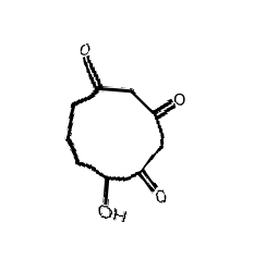 O=C1CCCC(O)C(=O)CC(=O)C1